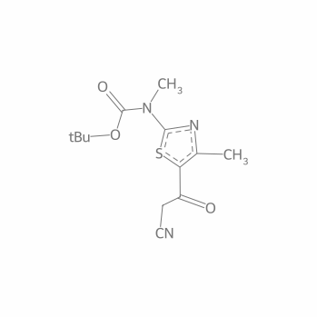 Cc1nc(N(C)C(=O)OC(C)(C)C)sc1C(=O)CC#N